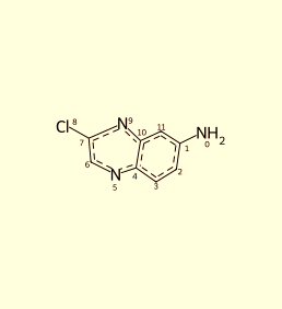 Nc1ccc2ncc(Cl)nc2c1